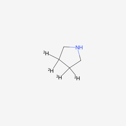 [2H]C1([2H])CNCC1([2H])[2H]